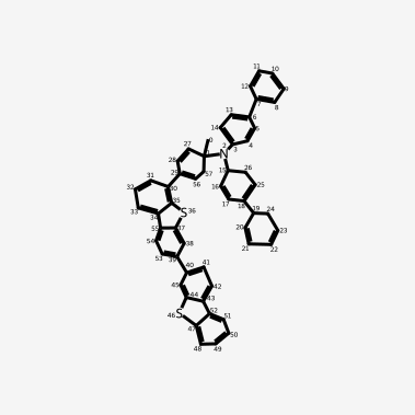 CC1(N(c2ccc(-c3ccccc3)cc2)C2C=CC(C3C=CC=CC3)=CC2)C=CC(c2cccc3c2sc2cc(-c4ccc5c(c4)sc4ccccc45)ccc23)=CC1